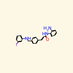 Nc1ccccc1NC(=O)C=Cc1ccc(CNc2cccc(I)c2)cc1